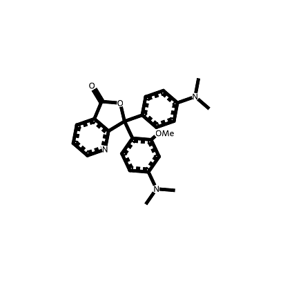 COc1cc(N(C)C)ccc1C1(c2ccc(N(C)C)cc2)OC(=O)c2cccnc21